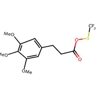 COc1cc(CCC(=O)OSC(F)(F)F)cc(OC)c1OC